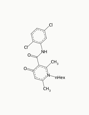 CCCCCCn1c(C)cc(=O)c(C(=O)Nc2cc(Cl)ccc2Cl)c1C